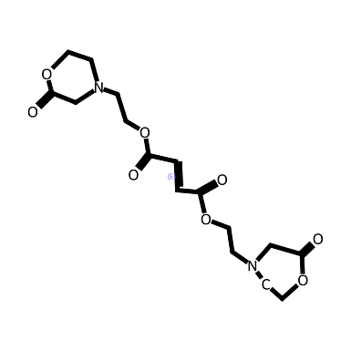 O=C(/C=C/C(=O)OCCN1CCOC(=O)C1)OCCN1CCOC(=O)C1